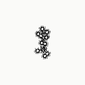 c1ccc(-c2nc(-c3cccc4ccccc34)nc(-c3cccc4c(-n5c6ccccc6c6c(-n7c8ccccc8c8ccccc87)c7ccccc7cc65)cccc34)n2)cc1